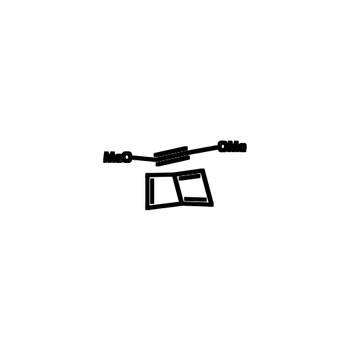 COC#COC.c1cc2ccc1-2